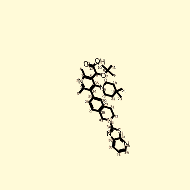 Cc1nc(C)c(C(OC(C)(C)C)C(=O)O)c(N2CCC(C)(C)CC2)c1-c1ccc2c(c1)CCN(c1nc3cccnc3s1)C2